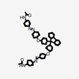 CC(=O)Nc1ccc(/N=N/c2ccc(Oc3ccc(C4(c5ccc(Oc6ccc(/N=N/c7ccc(NC(C)=O)cc7)cc6)cc5)c5ccccc5-c5ccccc54)cc3)cc2)cc1